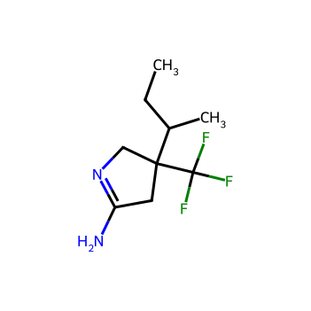 CCC(C)C1(C(F)(F)F)CN=C(N)C1